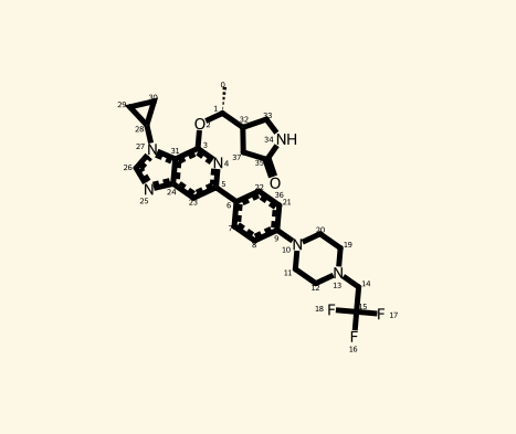 C[C@@H](Oc1nc(-c2ccc(N3CCN(CC(F)(F)F)CC3)cc2)cc2ncn(C3CC3)c12)C1CNC(=O)C1